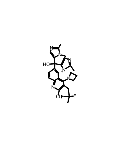 Cc1ncc(C(O)(c2ccc3nc(Cl)c(CC(C)(F)F)c(N4CCC4)c3c2)c2cnc(C)n2C)n1C